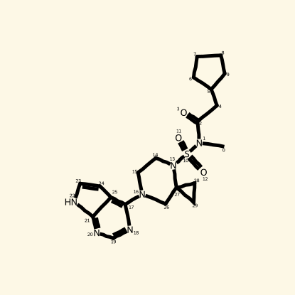 CN(C(=O)CC1CCCC1)S(=O)(=O)N1CCN(c2ncnc3[nH]ccc23)CC12CC2